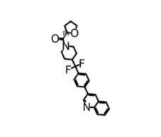 O=C([C@H]1CCCO1)N1CCC(C(F)(F)c2ccc(-c3cnc4ccccc4c3)cc2)CC1